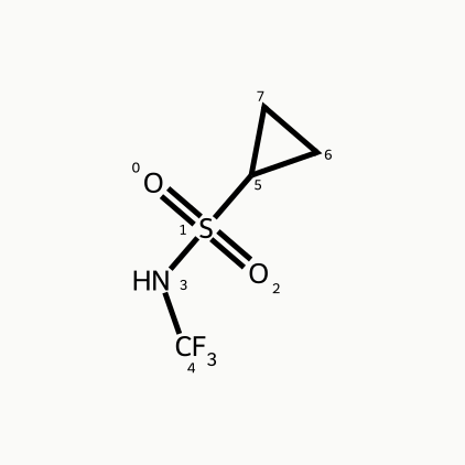 O=S(=O)(NC(F)(F)F)C1CC1